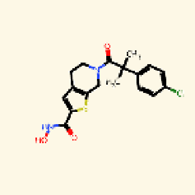 CC(C)(C(=O)N1CCc2cc(C(=O)NO)sc2C1)c1ccc(Cl)cc1